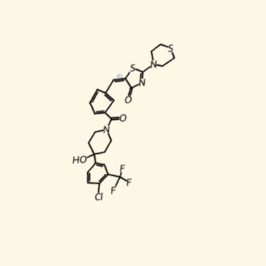 O=C1N=C(N2CCSCC2)S/C1=C/c1cccc(C(=O)N2CCC(O)(c3ccc(Cl)c(C(F)(F)F)c3)CC2)c1